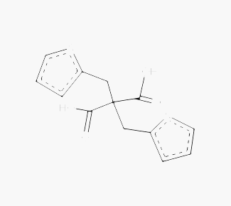 O=C(O)C(Cc1cccs1)(Cc1cccs1)C(=O)O